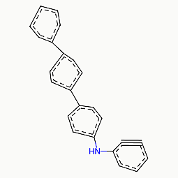 c1cccc(Nc2ccc(-c3ccc(-c4ccccc4)cc3)cc2)c#1